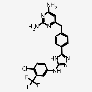 Nc1cc(Cc2ccc(-c3nnc(Nc4ccc(Cl)c(C(F)(F)F)c4)[nH]3)cc2)nc(N)n1